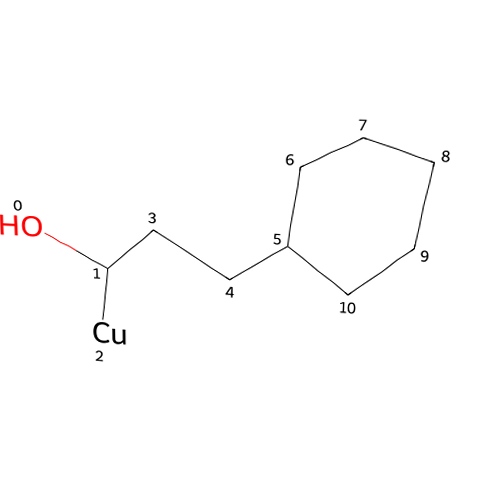 O[CH]([Cu])CCC1CCCCC1